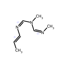 C/C=C/N=C\N(C)/C=N\C